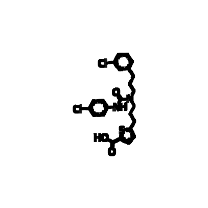 O=C(O)c1ccc(CCCN(CCCc2cccc(Cl)c2)C(=O)Nc2ccc(Cl)cc2)s1